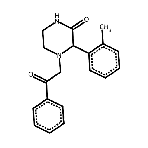 Cc1ccccc1C1C(=O)NCCN1CC(=O)c1ccccc1